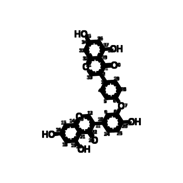 O=c1c(-c2ccc(Oc3cc(-c4coc5cc(O)cc(O)c5c4=O)ccc3O)cc2)coc2cc(O)cc(O)c12